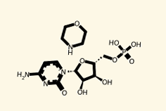 C1COCCN1.Nc1ccn([C@@H]2O[C@H](COP(=O)(O)O)[C@@H](O)[C@H]2O)c(=O)n1